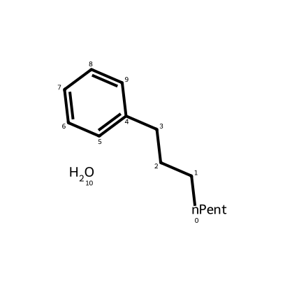 CCCCCCCCc1ccccc1.O